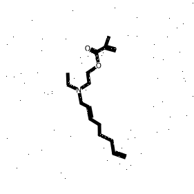 C=CCCC/C=C/CN(CC)CCOC(=O)C(=C)C